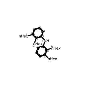 CCCCCCc1cccc(Nc2cccc(CCCCCC)c2CCCCCC)c1CCCCCC